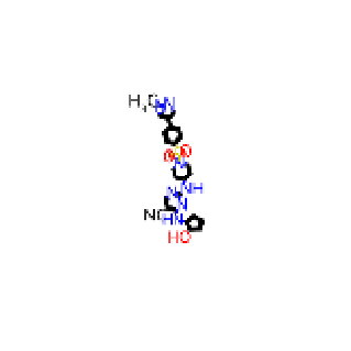 Cn1cc(-c2ccc(S(=O)(=O)N3CCC(Nc4ncc(C#N)c(N[C@H]5CCC[C@@H]5O)n4)CC3)cc2)cn1